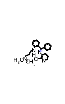 CN(C)CCCNc1ccccc1/C(=N/c1cccnc1Cl)c1ccccc1